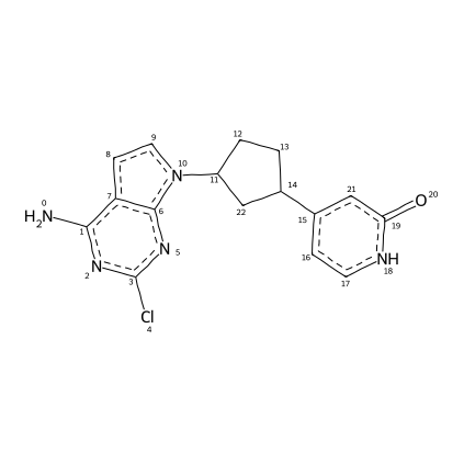 Nc1nc(Cl)nc2c1ccn2C1CCC(c2cc[nH]c(=O)c2)C1